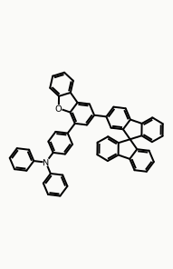 c1ccc(N(c2ccccc2)c2ccc(-c3cc(-c4ccc5c(c4)C4(c6ccccc6-c6ccccc64)c4ccccc4-5)cc4c3oc3ccccc34)cc2)cc1